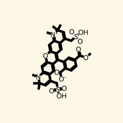 COC(=O)c1ccc(C(=O)[O-])c(C2=c3cc4c(cc3Oc3cc5c(cc32)C(CS(=O)(=O)O)=CC(C)(C)N5C)=[N+](C)C(C)(C)C=C4CS(=O)(=O)O)c1